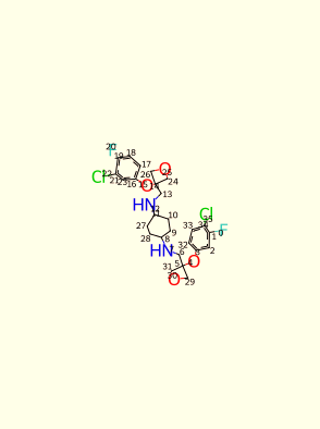 Fc1cc(OC2(CNC3CCC(NCC4(Oc5ccc(F)c(Cl)c5)COC4)CC3)COC2)ccc1Cl